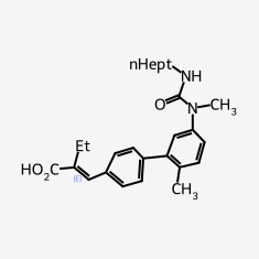 CCCCCCCNC(=O)N(C)c1ccc(C)c(-c2ccc(/C=C(\CC)C(=O)O)cc2)c1